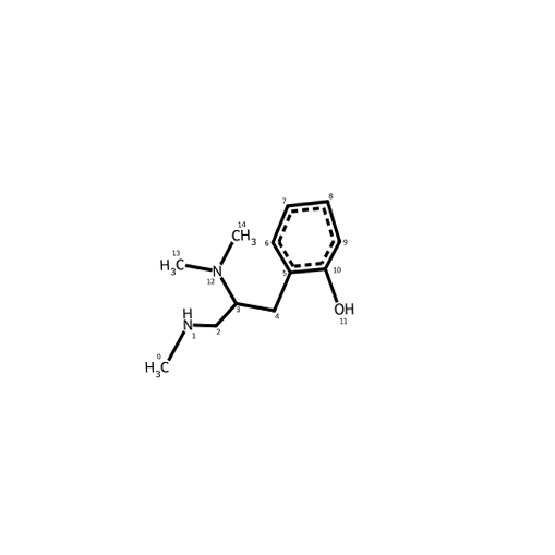 CNCC(Cc1ccccc1O)N(C)C